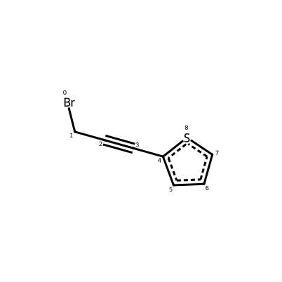 BrCC#Cc1cccs1